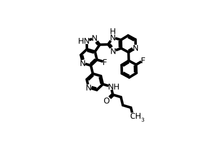 CCCCC(=O)Nc1cncc(-c2ncc3[nH]nc(-c4nc5c(-c6ccccc6F)nccc5[nH]4)c3c2F)c1